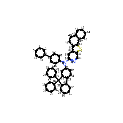 c1ccc(-c2ccc(N(c3ccc4c(c3)C(c3ccccc3)(c3ccccc3)c3ccccc3-4)c3cc4c(cn3)sc3c5ccccc5ccc43)cc2)cc1